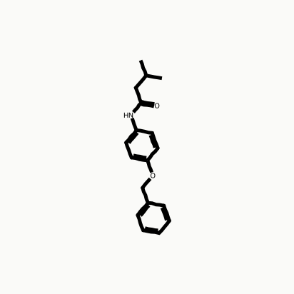 CC(C)CC(=O)Nc1ccc(OCc2ccccc2)cc1